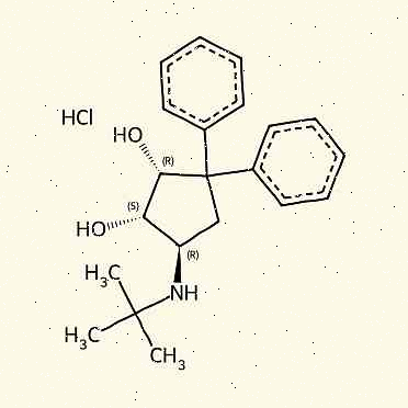 CC(C)(C)N[C@@H]1CC(c2ccccc2)(c2ccccc2)[C@@H](O)[C@H]1O.Cl